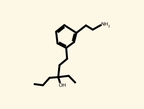 CCCC(O)(CC)CCc1cccc(CCN)c1